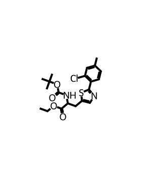 CCOC(=O)C(Cc1cnc(-c2ccc(C)cc2Cl)s1)NC(=O)OC(C)(C)C